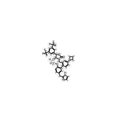 COc1ccc(Cc2ncc[nH]2)cc1-c1ccc(N2CCC2)nc1CN1C(=O)OC(c2cc(C(F)(F)F)cc(C(F)(F)F)c2)C1C